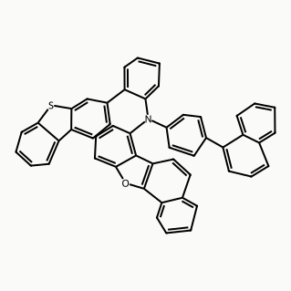 c1ccc(N(c2ccc(-c3cccc4ccccc34)cc2)c2cccc3oc4c5ccccc5ccc4c23)c(-c2ccc3c(c2)sc2ccccc23)c1